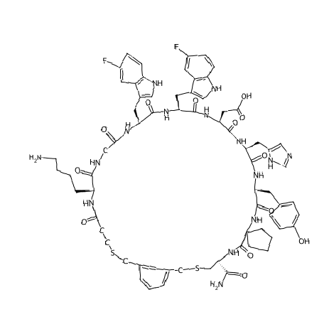 NCCCC[C@@H]1NC(=O)CCSCc2cccc(c2)CSC[C@@H](C(N)=O)NC(=O)C2(CCCC2)NC(=O)[C@H](Cc2ccc(O)cc2)NC(=O)[C@H](Cc2cnc[nH]2)NC(=O)[C@H](CC(=O)O)NC(=O)[C@H](Cc2c[nH]c3ccc(F)cc23)NC(=O)[C@H](Cc2c[nH]c3ccc(F)cc23)NC(=O)CNC1=O